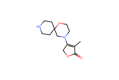 CC1=C(N2CCOC3(CCNCC3)C2)COC1=O